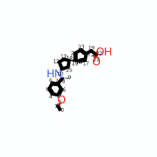 CCOc1cccc([C@@H](C)N[C@H]2CC[C@@H](c3ccc(CC(=O)O)cc3)C2)c1